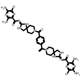 C=C(c1ccc(C(=O)N2CCC3(CC2)CN/C(=N\C(=O)c2nc(Cl)c(N)nc2N)N3)cc1)N1CCC2(CC1)CN/C(=N\C(=O)c1nc(Cl)c(N)nc1N)N2